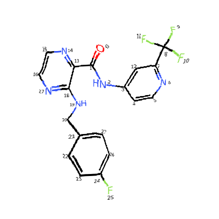 O=C(Nc1ccnc(C(F)(F)F)c1)c1nccnc1NCc1ccc(F)cc1